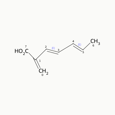 C=C(/C=C/C=C/C)C(=O)O